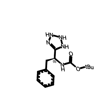 CC(C)(C)OC(=O)N[C@@H](Cc1ccccc1)C1=NNNN1